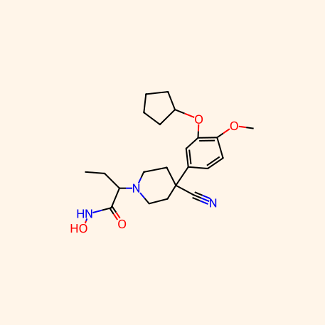 CCC(C(=O)NO)N1CCC(C#N)(c2ccc(OC)c(OC3CCCC3)c2)CC1